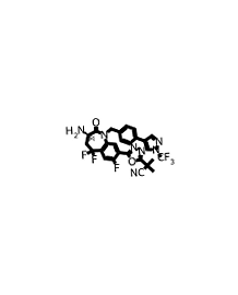 CC(C)(C#N)c1nnc(-c2cc3c(cc2F)C(F)(F)C[C@@H](N)C(=O)N3Cc2ccc(-c3cnn(C(F)(F)F)c3)cc2)o1